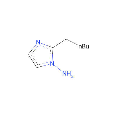 CCCCCc1nccn1N